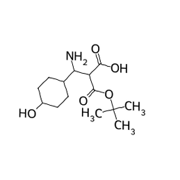 CC(C)(C)OC(=O)C(C(=O)O)C(N)C1CCC(O)CC1